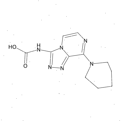 O=C(O)Nc1nnc2c(N3CCCCC3)nccn12